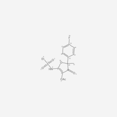 CCS(=O)(=O)NC1=C(OC(C)=O)C(=O)C(C)(c2ccc(F)cc2)O1